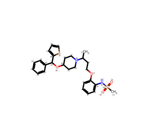 CC(CCOc1ccccc1NS(C)(=O)=O)N1CCC(OC(c2ccccc2)c2cccs2)CC1